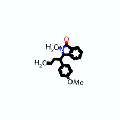 C=CCC(c1ccc(OC)cc1)C1c2ccccc2C(=O)N1C